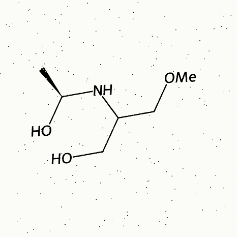 COCC(CO)N[C@H](C)O